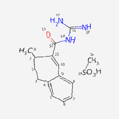 CC1CCc2ccccc2C=C1C(=O)NC(=N)N.CS(=O)(=O)O